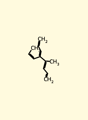 C=C/C=C(C)/C(/C=C\C)=C/C=C